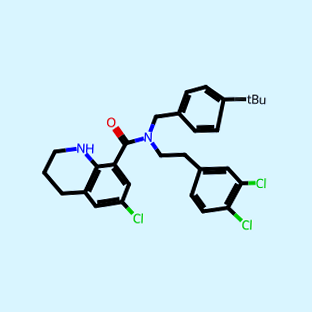 CC(C)(C)c1ccc(CN(CCc2ccc(Cl)c(Cl)c2)C(=O)c2cc(Cl)cc3c2NCCC3)cc1